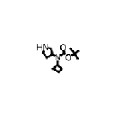 CC(C)(C)OC(=O)N(C1CCC1)C1CCNC1